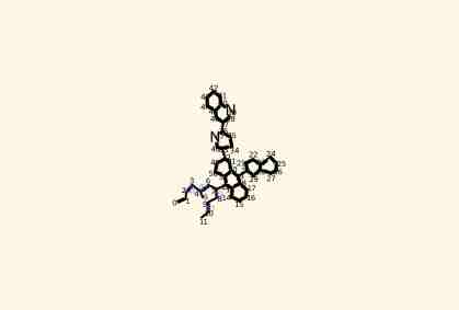 C=C\C=C/C(C)=C/C(=C\C=C\C)c1c2ccccc2c(-c2ccc3ccccc3c2)c2cc(-c3ccc(-c4cnc5ccccc5c4)nc3)ccc12